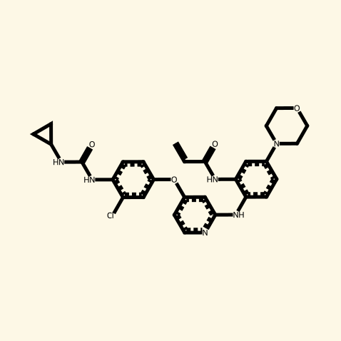 C=CC(=O)Nc1cc(N2CCOCC2)ccc1Nc1cc(Oc2ccc(NC(=O)NC3CC3)c(Cl)c2)ccn1